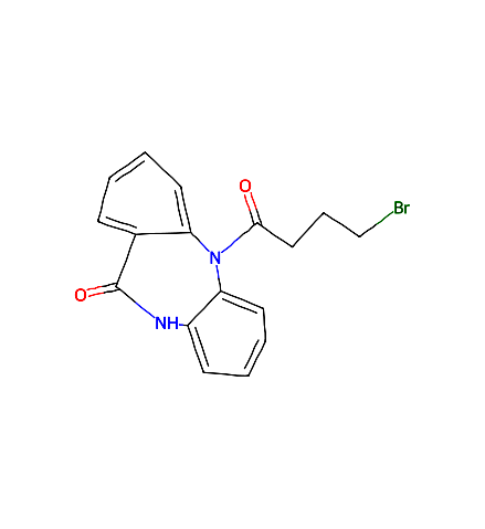 O=C1Nc2ccccc2N(C(=O)CCCBr)c2ccccc21